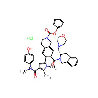 Cc1c(C(=O)N(C)c2ccc(O)cc2)cc(-c2cc3c(cc2C(=O)N2Cc4ccccc4C[C@H]2CN2CCOCC2)CN(C(=O)Oc2ccccc2)CC3)n1C.Cl